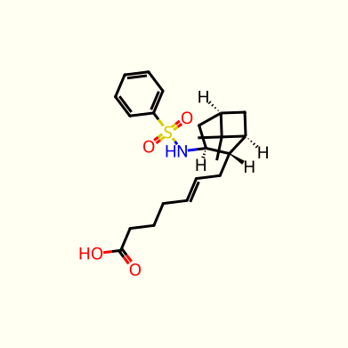 CC1(C)[C@H]2C[C@H](NS(=O)(=O)c3ccccc3)[C@@H](CC=CCCCC(=O)O)[C@@H]1C2